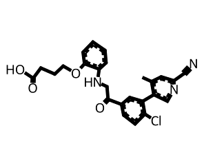 Cc1cc(C#N)ncc1-c1cc(C(=O)CNc2ccccc2OCCCC(=O)O)ccc1Cl